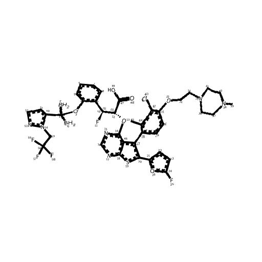 BC(B)(Oc1ccccc1[C@H](F)[C@@H](Oc1ncnc2sc(-c3ccc(F)o3)c(-c3ccc(OCCN4CCN(C)CC4)c(Cl)c3C)c12)C(=O)O)c1ccnn1CC(F)(F)F